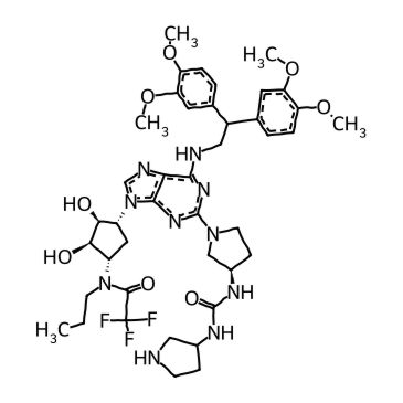 CCCN(C(=O)C(F)(F)F)[C@H]1C[C@@H](n2cnc3c(NCC(c4ccc(OC)c(OC)c4)c4ccc(OC)c(OC)c4)nc(N4CC[C@@H](NC(=O)NC5CCNC5)C4)nc32)[C@H](O)[C@@H]1O